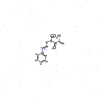 C=CC(=O)C(C/C=C/c1ccccc1)C(=O)O